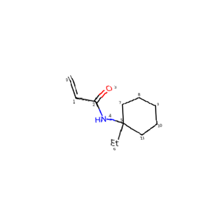 C=CC(=O)NC1(CC)CCCCC1